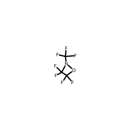 FC(F)(F)N1OC(F)(F)C1(F)F